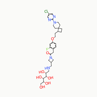 O=C(Cc1ccc(OCCC2CCC23CCN(c2ncc(Cl)cn2)CC3)cc1F)N1CC(CNCC(O)C(O)C(O)C(O)CO)C1